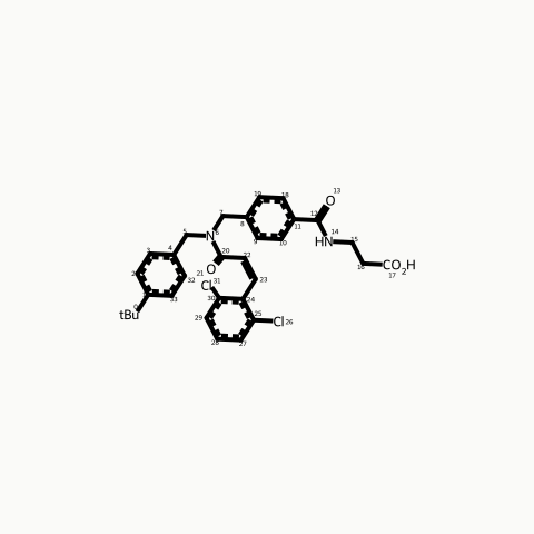 CC(C)(C)c1ccc(CN(Cc2ccc(C(=O)NCCC(=O)O)cc2)C(=O)C=Cc2c(Cl)cccc2Cl)cc1